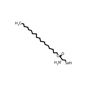 CCCCCCCCCCCCCCCCCCOC(=O)[C@@H](N)C[SeH]